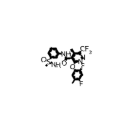 Cc1cc(Oc2nnc(C(F)(F)F)c(C)c2C(=O)Nc2cccc(S(C)(=N)=O)c2)c(F)cc1F